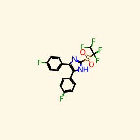 O=S(=O)(c1nc(-c2ccc(F)cc2)c(-c2ccc(F)cc2)[nH]1)C(F)(F)C(F)F